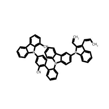 C=Cc1c(/C=C\C)c2ccccc2n1-c1ccc2c(c1)c1ccccc1n2-c1ccccc1-c1ccc(-n2c3ccccc3c3cccc(C#N)c32)cc1C#N